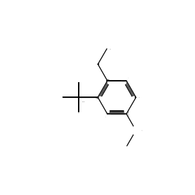 CCc1ccc(OC)cc1C(F)(F)F